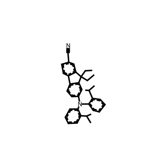 CCC1(CC)c2cc(C#N)ccc2-c2ccc(N(c3ccccc3C(C)C)c3ccccc3C(C)C)cc21